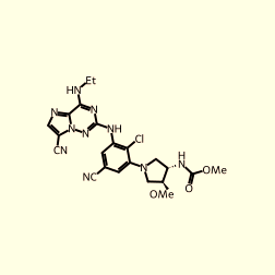 CCNc1nc(Nc2cc(C#N)cc(N3C[C@H](NC(=O)OC)[C@@H](OC)C3)c2Cl)nn2c(C#N)cnc12